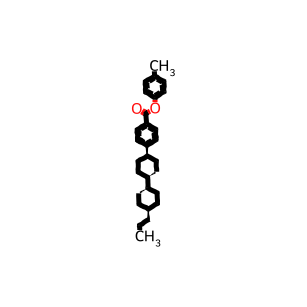 CCC[C@H]1CC[C@H]([C@H]2CC[C@H](c3ccc(C(=O)Oc4ccc(C)cc4)cc3)CC2)CC1